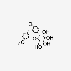 CCOc1ccc(Cc2cc(C3C(=O)C(CO)C(O)C(O)C3O)ccc2Cl)cc1